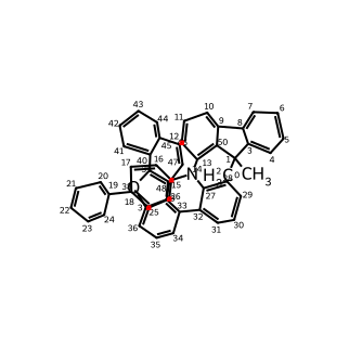 CC1(C)c2ccccc2-c2cccc(N(c3ccc(-c4ccccc4)cc3)c3ccccc3-c3cccc4oc5c6ccccc6ccc5c34)c21